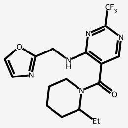 CCC1CCCCN1C(=O)c1cnc(C(F)(F)F)nc1NCc1ncco1